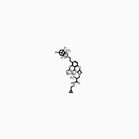 CC(C)(C)OC(=O)Oc1c(CCB2O[C@@H]3C[C@@H]4C[C@@H](C4(C)C)[C@]3(C)O2)ccc(OC2CN(CC(N)C(=O)NOCC3CC3)C2)c1C(=O)OC(C)(C)C